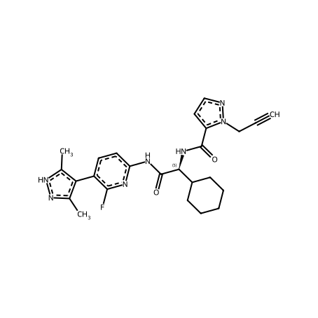 C#CCn1nccc1C(=O)N[C@H](C(=O)Nc1ccc(-c2c(C)n[nH]c2C)c(F)n1)C1CCCCC1